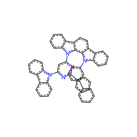 c1ccc(-c2cccc(-n3c4ccccc4c4ccc5c6ccccc6n(-c6cc(-n7c8ccccc8c8ccccc87)nc(-c7ccccc7)n6)c5c43)c2)cc1